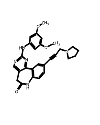 COc1cc(Nc2ncc3c(n2)-c2cc(C#CCN4CCCC4)ccc2NC(=O)C3)cc(OC)c1